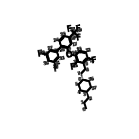 CCC[C@H]1CC[C@H](CCc2c(F)c[c]c(Oc3cc(C(F)(F)F)ccc3-c3cc(F)cc(F)c3)c2F)CC1